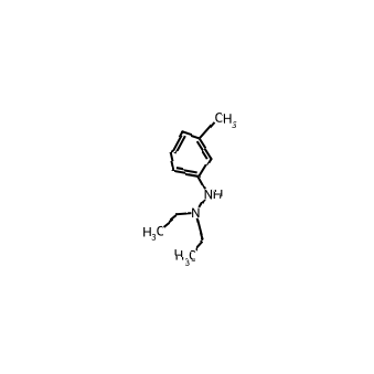 CCN(CC)Nc1cccc(C)c1